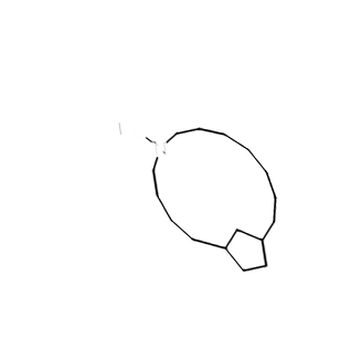 CN1CCCCCCCC2CCC(CCCC1)C2